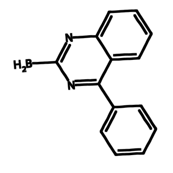 Bc1nc(-c2ccccc2)c2ccccc2n1